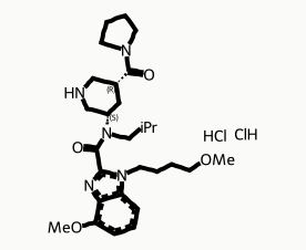 COCCCCn1c(C(=O)N(CC(C)C)[C@@H]2CNC[C@H](C(=O)N3CCCC3)C2)nc2c(OC)cccc21.Cl.Cl